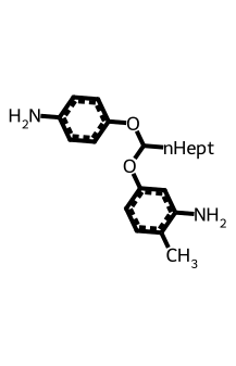 CCCCCCCC(Oc1ccc(N)cc1)Oc1ccc(C)c(N)c1